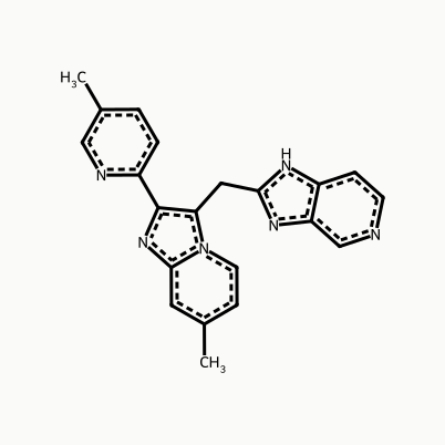 Cc1ccc(-c2nc3cc(C)ccn3c2Cc2nc3cnccc3[nH]2)nc1